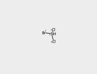 Cl[SiH](Cl)Br